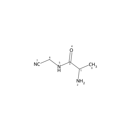 CC(N)C(=O)NCC#N